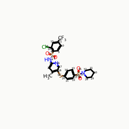 Cc1cc(NS(=O)(=O)c2ccc(C(F)(F)F)cc2Cl)ncc1Sc1ccc(S(=O)(=O)N2CCCCC2)cc1